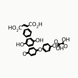 O=C(O)C(=O)O.O=C(O)C=CC(=O)O.O=C1C=CC(=O)C=C1.Oc1ccc(O)cc1.Oc1ccccc1.c1ccccc1